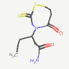 CCC(C(N)=O)N1C(=O)CSC1=S